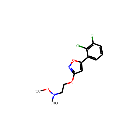 CC(C)(C)ON(C=O)CCOc1cc(-c2cccc(Cl)c2Cl)on1